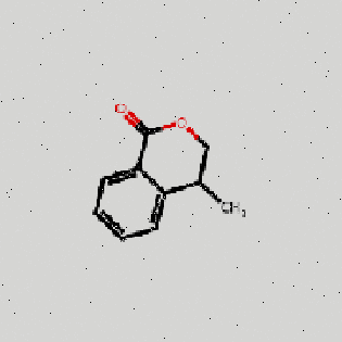 CC1COC(=O)c2ccccc21